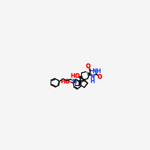 O=C1NC(=O)[C@@]2(CC[C@@](O)([C@H]3CCN3CCCc3ccccc3)[C@]3(CCc4ccc(O)cc43)C2)N1